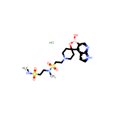 CNS(=O)(=O)CCN(C)S(=O)(=O)CCN1CCC2(CC1)OB(O)c1cnc3[nH]ccc3c12.Cl